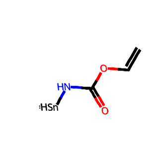 C=COC(=O)[NH][SnH]